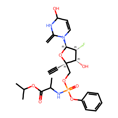 C#C[C@]1(COP(=O)(NC(C)C(=O)OC(C)C)Oc2ccccc2)O[C@@H](N2C=CC(O)NC2=C)[C@H](F)[C@@H]1O